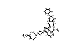 CN1CCCN([C@H]2C[C@@H](c3nc(-c4ccc5ccc(-c6ccccc6)nc5c4)c4c(N)nccn43)C2)CC1